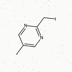 Cc1cnc(CI)nc1